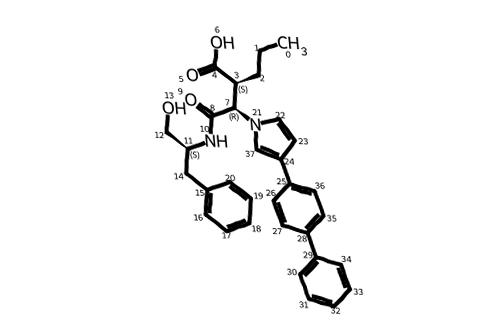 CCC[C@H](C(=O)O)[C@H](C(=O)N[C@H](CO)Cc1ccccc1)n1ccc(-c2ccc(-c3ccccc3)cc2)c1